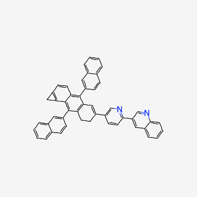 C1=C(c2ccc(-c3cnc4ccccc4c3)nc2)CCc2c1c(-c1ccc3ccccc3c1)c1ccc3c(c1c2-c1ccc2ccccc2c1)C3